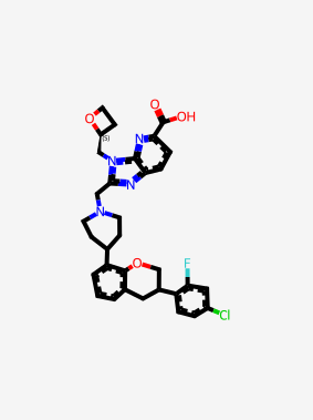 O=C(O)c1ccc2nc(CN3CCC(c4cccc5c4OCC(c4ccc(Cl)cc4F)C5)CC3)n(C[C@@H]3CCO3)c2n1